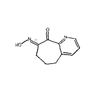 O=C1/C(=N/O)CCCc2cccnc21